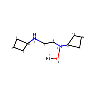 CCON(CCNC1CCC1)C1CCC1